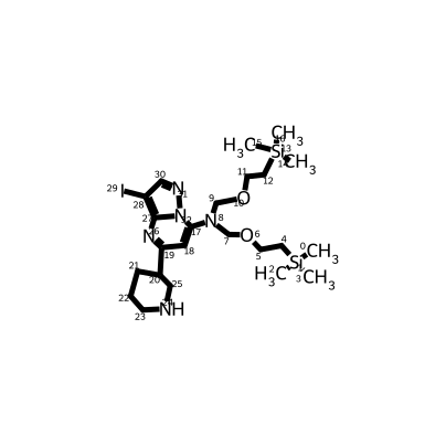 C[Si](C)(C)CCOCN(COCC[Si](C)(C)C)c1cc(C2CCCNC2)nc2c(I)cnn12